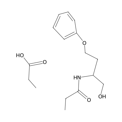 CCC(=O)NC(CO)CCOc1ccccc1.CCC(=O)O